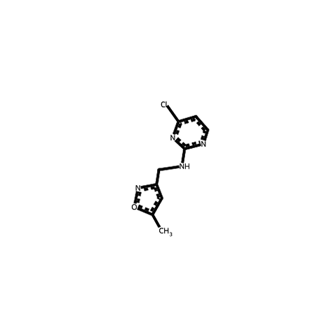 Cc1cc(CNc2nccc(Cl)n2)no1